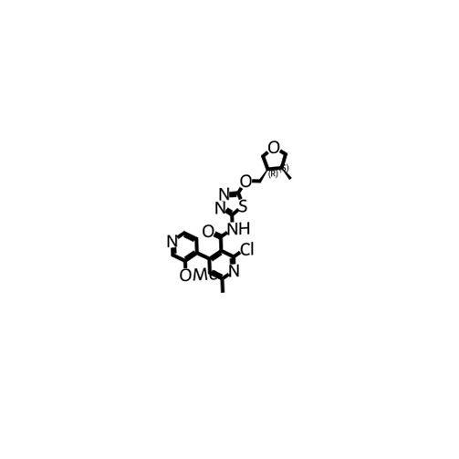 COc1cnccc1-c1cc(C)nc(Cl)c1C(=O)Nc1nnc(OC[C@H]2COC[C@H]2C)s1